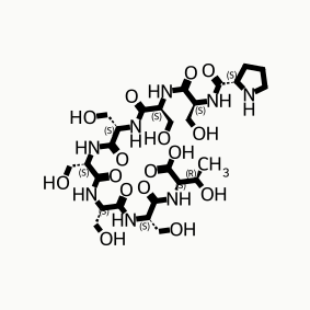 C[C@@H](O)[C@H](NC(=O)[C@H](CO)NC(=O)[C@H](CO)NC(=O)[C@H](CO)NC(=O)[C@H](CO)NC(=O)[C@H](CO)NC(=O)[C@H](CO)NC(=O)[C@@H]1CCCN1)C(=O)O